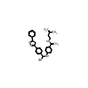 C=C(C)CCNC(=C)c1ccc(NC(c2ccc(C3=NN=C(c4ccccc4)C3)cc2)C(C)CC)cc1